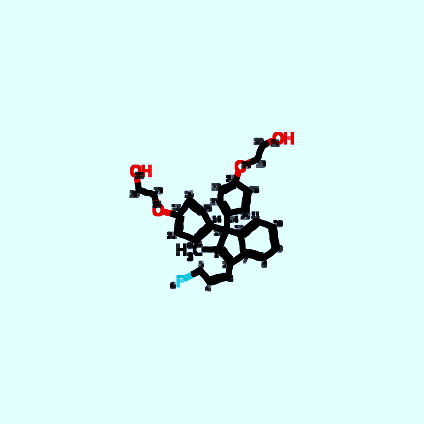 CC1=C(/C=C\CF)c2ccccc2C1(c1ccc(OCCO)cc1)c1ccc(OCCO)cc1